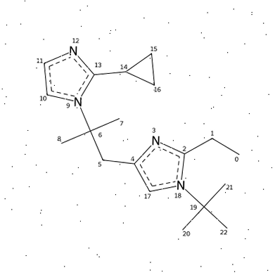 CCc1nc(CC(C)(C)n2ccnc2C2CC2)cn1C(C)(C)C